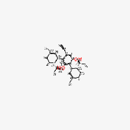 C#Cc1cc(O)c(C2C=C(C)CC[C@H]2C(=C)C)c(O)c1[C@@H]1C=C(C)CC[C@H]1C(=C)C